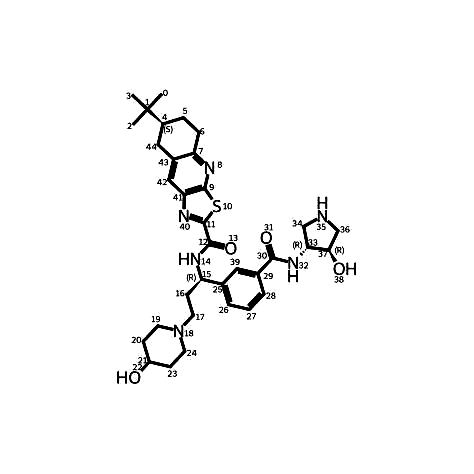 CC(C)(C)[C@H]1CCc2nc3sc(C(=O)N[C@H](CCN4CCC(O)CC4)c4cccc(C(=O)N[C@@H]5CNC[C@H]5O)c4)nc3cc2C1